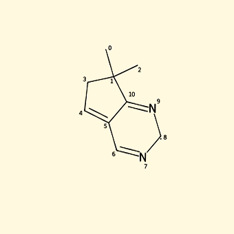 CC1(C)CC=C2C=N[CH]N=C21